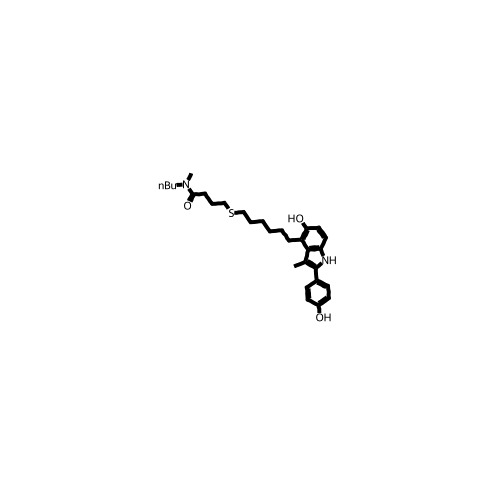 CCCCN(C)C(=O)CCCSCCCCCCc1c(O)ccc2[nH]c(-c3ccc(O)cc3)c(C)c12